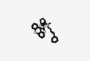 CN(CC/C=C/c1ccccc1)C1CC2CCC1C2OC(=O)C1(O)c2ccccc2Oc2ccccc21